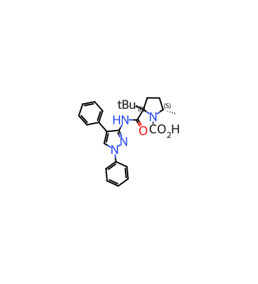 C[C@H]1CC[C@](C(=O)Nc2nn(-c3ccccc3)cc2-c2ccccc2)(C(C)(C)C)N1C(=O)O